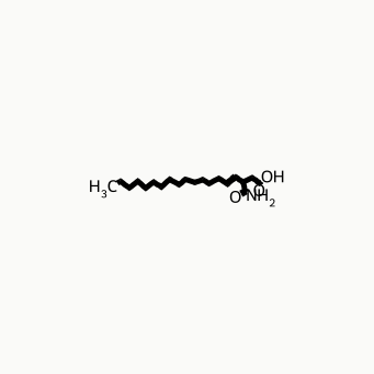 CCCCCCCCCCCCCCC=CC(CC(=O)O)C(N)=O